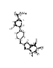 CCn1c(=O)[nH]c2cc(CN3CCN(c4ccc(C(=O)NC)cc4F)CC3)sc2c1=O